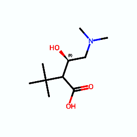 CN(C)C[C@H](O)C(C(=O)O)C(C)(C)C